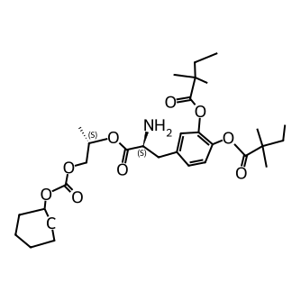 CCC(C)(C)C(=O)Oc1ccc(C[C@H](N)C(=O)O[C@@H](C)COC(=O)OC2CCCCC2)cc1OC(=O)C(C)(C)CC